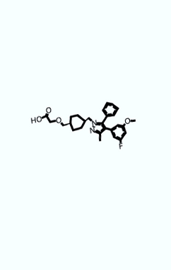 COc1cc(F)cc(-c2c(C)nn(C[C@H]3CC[C@@H](COCC(=O)O)CC3)c2-c2ccccc2)c1